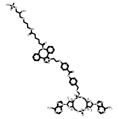 CP(=O)(O)OCC(O)COCCCNC(=O)CCCCC(=O)N1Cc2ccccc2-c2nnn(CCOc3ccc(C(=O)Oc4ccc(CSC[P@@]5(=O)OC[C@H]6O[C@@H](n7cnc8c(N)ncnc87)[C@H](F)[C@@H]6O[PH](=O)OC[C@H]6O[C@@H](n7cnc8c(N)ncnc87)[C@H](F)[C@@H]6O5)cc4)cc3)c2-c2ccccc21